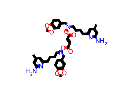 Cc1cc(N)nc(CCCCN(Cc2ccc3c(c2)OCO3)OC(=O)/C=C/C(=O)ON(CCCCc2cc(C)cc(N)n2)Cc2ccc3c(c2)OCO3)c1